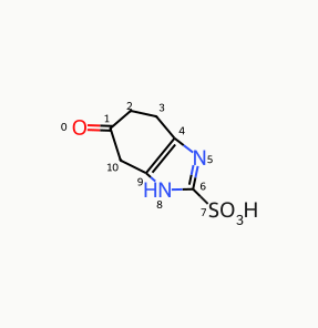 O=C1CCc2nc(S(=O)(=O)O)[nH]c2C1